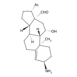 CC(=O)[C@H]1CC[C@H]2[C@@H]3CCC4=C[C@H](N)CC[C@]4(C)[C@H]3[C@@H](O)C[C@]12C=O